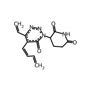 C=C/C=C\c1c(C=C)nnn(C2CCC(=O)NC2=O)c1=O